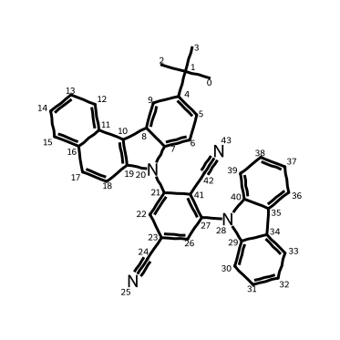 CC(C)(C)c1ccc2c(c1)c1c3ccccc3ccc1n2-c1cc(C#N)cc(-n2c3ccccc3c3ccccc32)c1C#N